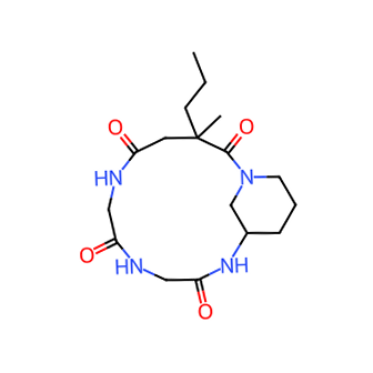 CCCC1(C)CC(=O)NCC(=O)NCC(=O)NC2CCCN(C2)C1=O